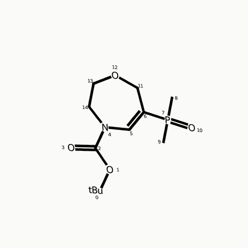 CC(C)(C)OC(=O)N1C=C(P(C)(C)=O)COCC1